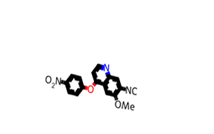 [C-]#[N+]c1cc2nccc(Oc3ccc([N+](=O)[O-])cc3)c2cc1OC